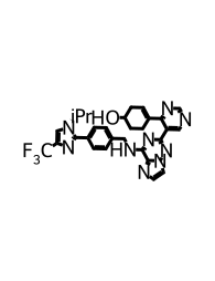 CC(C)n1cc(C(F)(F)F)nc1-c1ccc(CNc2nc(-c3cncnc3C3=CCC(O)CC3)nn3ccnc23)cc1